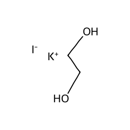 OCCO.[I-].[K+]